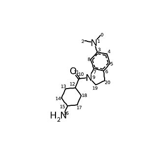 CN(C)c1ccc2c(c1)N(C(=O)C1CCC(N)CC1)CC2